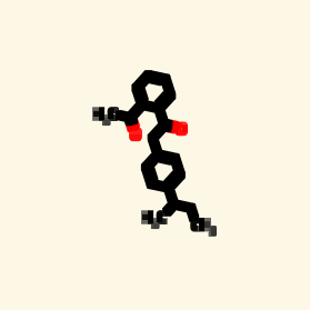 CCC(C)c1ccc(CC(=O)c2ccccc2C(C)=O)cc1